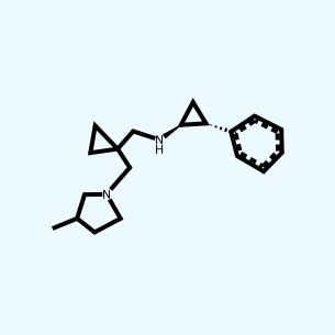 CC1CCN(CC2(CN[C@H]3C[C@@H]3c3ccccc3)CC2)C1